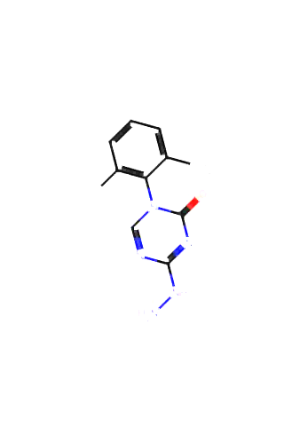 Cc1cccc(C)c1-n1cnc(NN)nc1=O